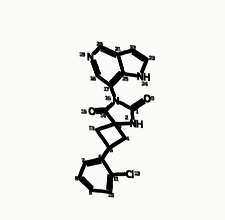 O=C1NC2(CC(c3ccccc3Cl)C2)C(=O)N1c1cncc2cc[nH]c12